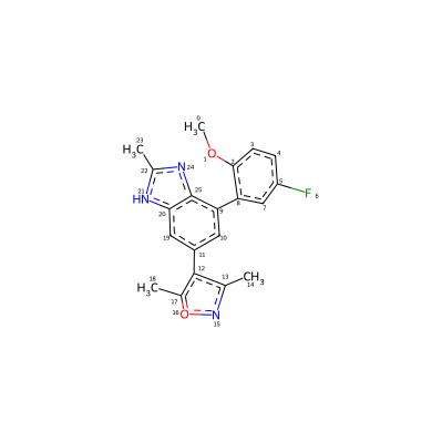 COc1ccc(F)cc1-c1cc(-c2c(C)noc2C)cc2[nH]c(C)nc12